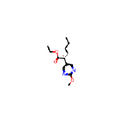 CCCC[C@@H](C(=O)OCC)c1cnc(OC)nc1